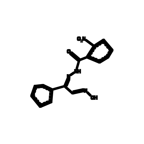 O=C(NN=C(C=NO)c1ccccc1)c1ccccc1[N+](=O)[O-]